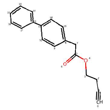 C#CCCOC(=O)Cc1ccc(-c2ccccc2)cc1